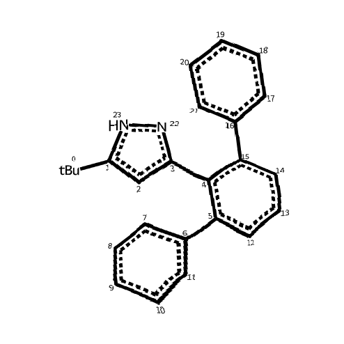 CC(C)(C)c1cc(-c2c(-c3ccccc3)cccc2-c2ccccc2)n[nH]1